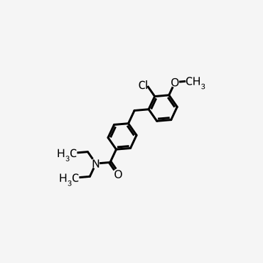 CCN(CC)C(=O)c1ccc(Cc2cccc(OC)c2Cl)cc1